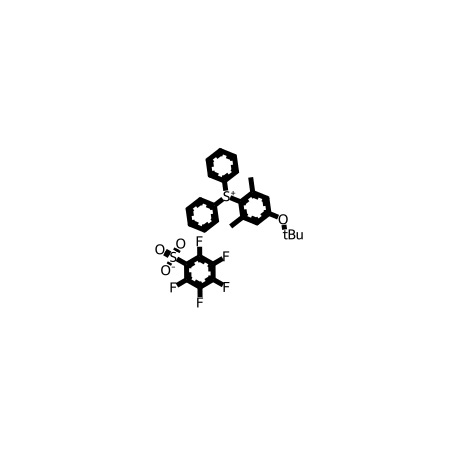 Cc1cc(OC(C)(C)C)cc(C)c1[S+](c1ccccc1)c1ccccc1.O=S(=O)([O-])c1c(F)c(F)c(F)c(F)c1F